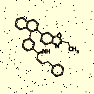 CCc1nc2ccc(-c3ccc4ccccc4c3-c3cccc(C(=N)/C=C\Cc4ccccc4)c3)cc2o1